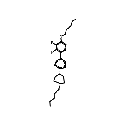 CCCCCOc1ccc(-c2ccc([C@H]3CC[C@H](CCCCC)CC3)cc2)c(F)c1F